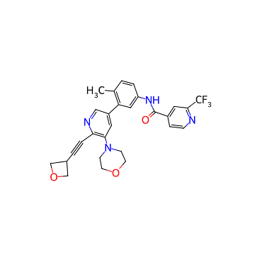 Cc1ccc(NC(=O)c2ccnc(C(F)(F)F)c2)cc1-c1cnc(C#CC2COC2)c(N2CCOCC2)c1